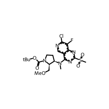 COC[C@@H]1[C@H](N(C)c2nc(S(C)(=O)=O)nc3c(F)c(Cl)ncc23)CCN1C(=O)OC(C)(C)C